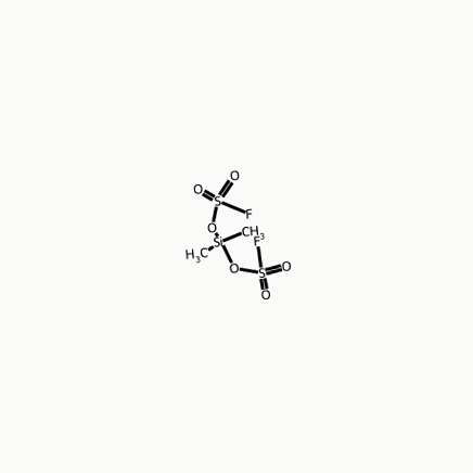 C[Si](C)(OS(=O)(=O)F)OS(=O)(=O)F